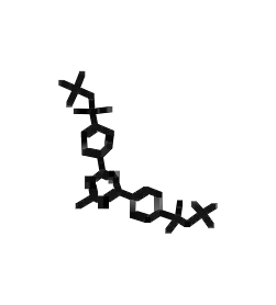 Cc1nc(-c2ccc(C(C)(C)CC(C)(C)C)cc2)nc(-c2ccc(C(C)(C)CC(C)(C)C)cc2)n1